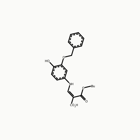 CCC(C)OC(=O)C(=CNc1ccc(O)c(OCc2ccccc2)c1)C(=O)O